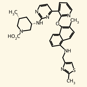 Cc1nc(CNc2cccc3c(Oc4ncccc4-c4ccnc(N[C@H]5C[C@@H](C)CN(C(=O)O)C5)n4)c(C)ccc23)cs1